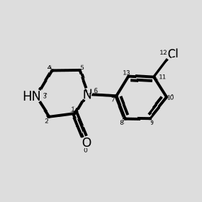 O=C1CNCCN1c1cccc(Cl)c1